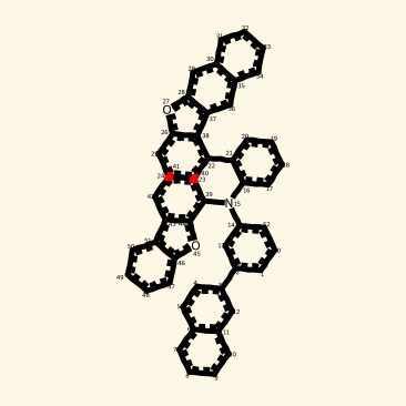 c1cc(-c2ccc3ccccc3c2)cc(N(c2ccccc2-c2cccc3oc4cc5ccccc5cc4c23)c2cccc3c2oc2ccccc23)c1